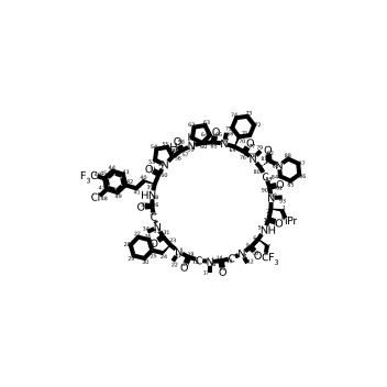 CC(C)C[C@H]1C(=O)N[C@@H](CC(F)(F)F)C(=O)N(C)CC(=O)N(C)CC(=O)N(C)[C@@H](CC2CCCCC2)C(=O)N(C)CC(=O)N[C@@H](CCc2ccc(C(F)(F)F)c(Cl)c2)C(=O)N2CCC[C@H]2C(=O)NC2(CCCC2)C(=O)N(C)[C@@H](C2CCCCC2)C(=O)N(C)[C@H](C(=O)N2CCCCC2)CC(=O)N1C